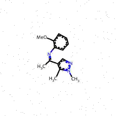 COc1ccccc1N=C(C)c1cnn(C)c1C